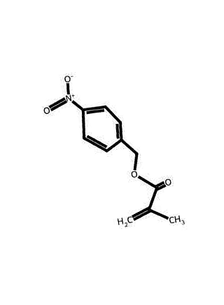 C=C(C)C(=O)OCc1ccc([N+](=O)[O-])cc1